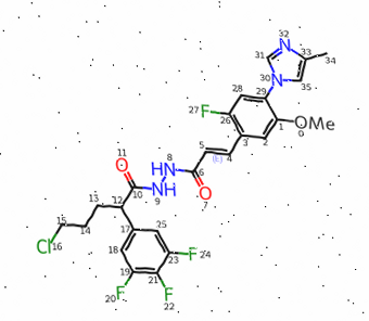 COc1cc(/C=C/C(=O)NNC(=O)C(CCCCl)c2cc(F)c(F)c(F)c2)c(F)cc1-n1cnc(C)c1